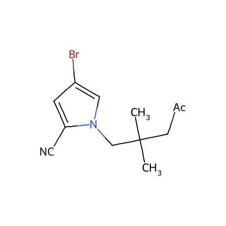 CC(=O)CC(C)(C)Cn1cc(Br)cc1C#N